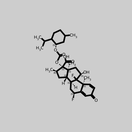 CC1CCC(C(C)C)[C@@H](OC(=O)O[C@@]2(C(=O)O)[C@H](C)C[C@H]3[C@@H]4C[C@H](F)C5=CC(=O)C=C[C@]5(C)C4(F)[C@@H](O)C[C@@]32C)C1